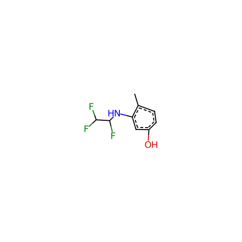 Cc1ccc(O)cc1NC(F)C(F)F